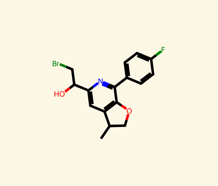 CC1COc2c1cc(C(O)CBr)nc2-c1ccc(F)cc1